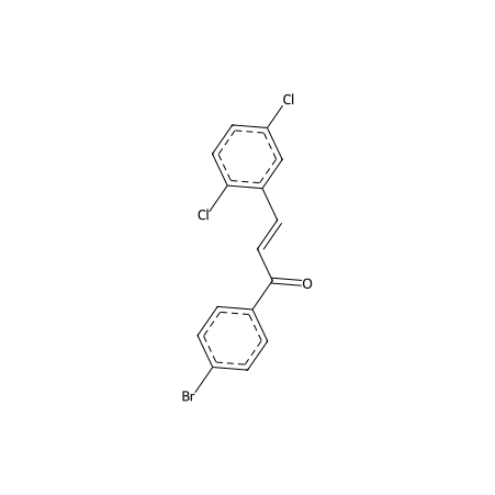 O=C(C=Cc1cc(Cl)ccc1Cl)c1ccc(Br)cc1